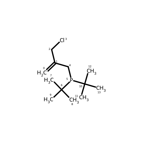 C=C(CCl)CP(C(C)(C)C)C(C)(C)C